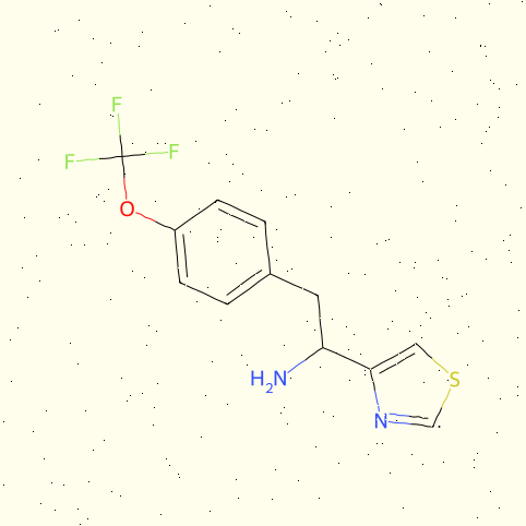 NC(Cc1ccc(OC(F)(F)F)cc1)c1cs[c]n1